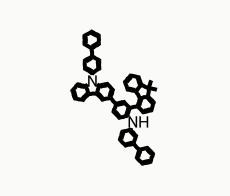 CC1(C)c2ccccc2-c2c(-c3cc(-c4ccc5c(c4)c4ccccc4n5-c4ccc(-c5ccccc5)cc4)ccc3Nc3cccc(-c4ccccc4)c3)cccc21